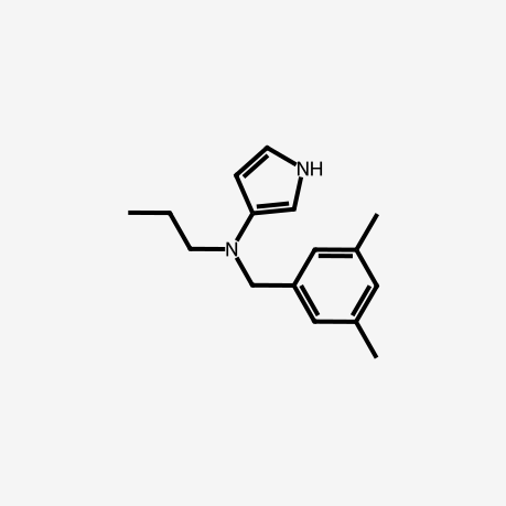 CCCN(Cc1cc(C)cc(C)c1)c1cc[nH]c1